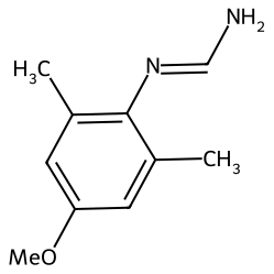 COc1cc(C)c(N=CN)c(C)c1